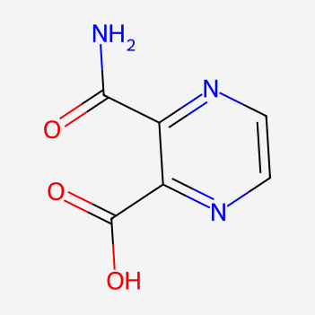 NC(=O)c1nccnc1C(=O)O